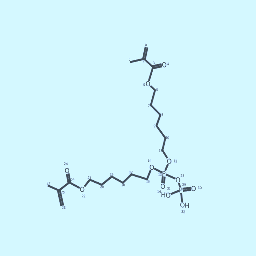 C=C(C)C(=O)OCCCCCCOP(=O)(OCCCCCCOC(=O)C(=C)C)OP(=O)(O)O